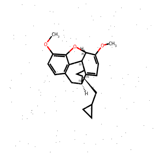 COC1=CC=C2[C@H]3Cc4ccc(OC)c5c4[C@@]2(CC[C@H]3CC2CC2)[C@H]1O5